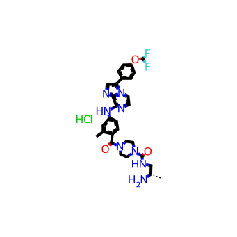 Cc1cc(Nc2nccn3c(-c4ccc(OC(F)F)cc4)cnc23)ccc1C(=O)N1CCN(C(=O)NC[C@H](C)N)CC1.Cl